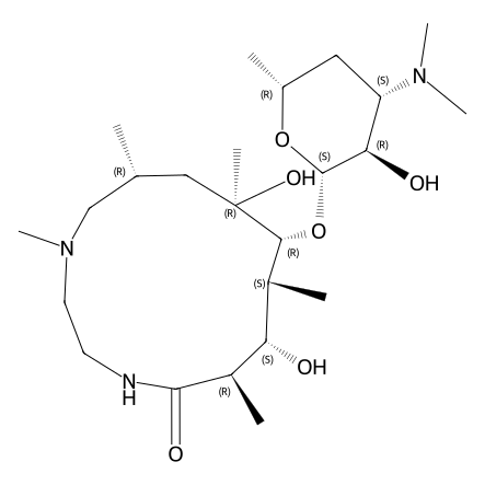 C[C@H]1CN(C)CCNC(=O)[C@H](C)[C@@H](O)[C@H](C)[C@@H](O[C@@H]2O[C@H](C)C[C@H](N(C)C)[C@H]2O)[C@](C)(O)C1